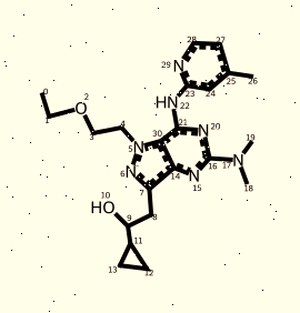 CCOCCn1nc(CC(O)C2CC2)c2nc(N(C)C)nc(Nc3cc(C)ccn3)c21